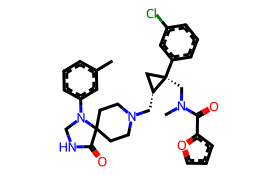 Cc1cccc(N2CNC(=O)C23CCN(C[C@@H]2C[C@@]2(CN(C)C(=O)c2ccco2)c2cccc(Cl)c2)CC3)c1